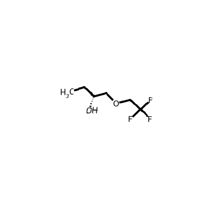 CC[C@@H](O)COCC(F)(F)F